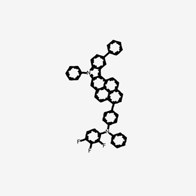 Fc1ccc(N(c2ccccc2)c2ccc(-c3ccc4ccc5c6c(ccc3c46)cc3c5c4cc(-c5ccccc5)ccc4n3-c3ccccc3)cc2)c(F)c1F